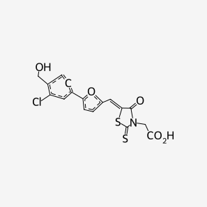 O=C(O)CN1C(=O)/C(=C/c2ccc(-c3ccc(CO)c(Cl)c3)o2)SC1=S